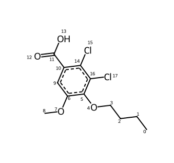 CCCCOc1c(OC)cc(C(=O)O)c(Cl)c1Cl